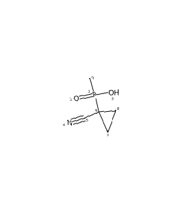 CP(=O)(O)C1(C#N)CC1